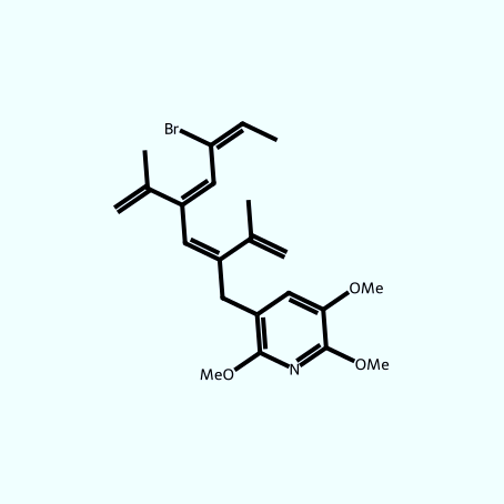 C=C(C)C(=C\C(Br)=C/C)/C=C(/Cc1cc(OC)c(OC)nc1OC)C(=C)C